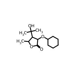 CC1OC(=O)C(OC2CCCCC2)C1C(C)(C)O